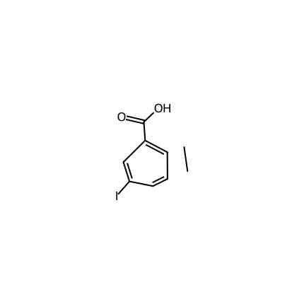 CC.O=C(O)c1cccc(I)c1